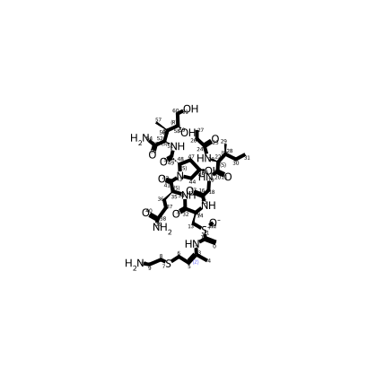 C=C(N/C(C)=C\CSCCN)[S+]([O-])C[C@H](NC(=O)CNC(=O)[C@@H](NC(=O)CC)[C@@H](C)CC)C(=O)N[C@@H](CCC(N)=O)C(=O)N1C[C@H](O)C[C@H]1C(=O)N[C@H](C(N)=O)[C@@H](C)[C@@H](O)CO